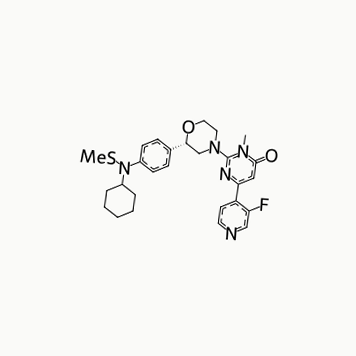 CSN(c1ccc([C@H]2CN(c3nc(-c4ccncc4F)cc(=O)n3C)CCO2)cc1)C1CCCCC1